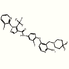 Nc1nccc(Oc2ccc(NC(=O)c3cnn(-c4ncccc4F)c3C(F)(F)F)cc2F)c1CN1CCC(F)(F)CC1